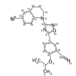 CC(C)Oc1ccc(-c2nc(N3CCCc4cc(Br)ccc43)no2)cc1C#N